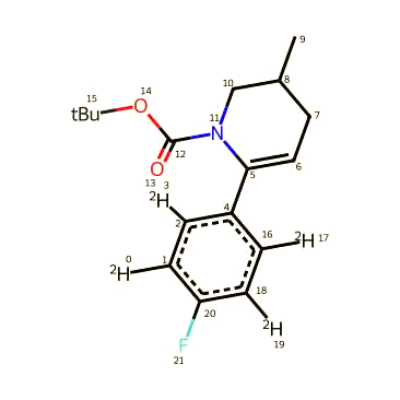 [2H]c1c([2H])c(C2=CCC(C)CN2C(=O)OC(C)(C)C)c([2H])c([2H])c1F